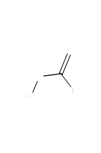 C=C(F)OCC